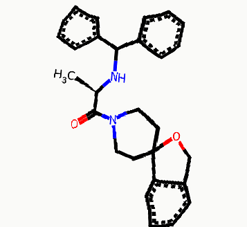 C[C@@H](NC(c1ccccc1)c1ccccc1)C(=O)N1CCC2(CC1)OCc1ccccc12